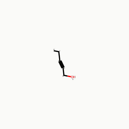 CCC#C[CH]O